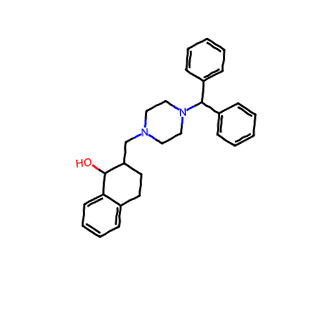 OC1c2ccccc2CCC1CN1CCN(C(c2ccccc2)c2ccccc2)CC1